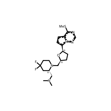 CSc1ncnn2c([C@H]3CC[C@@H](CN4CCC(F)(F)C[C@H]4CN(C)C)O3)ccc12